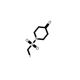 O=C1CCN(S(=O)(=O)CI)CC1